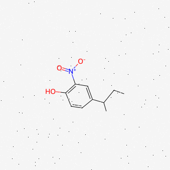 CCC(C)c1ccc(O)c([N+](=O)[O-])c1